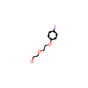 [O]CCOCCOc1ccc(I)cc1